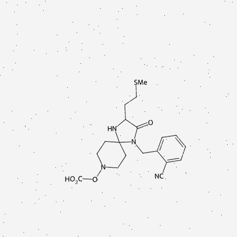 CSCCC1NC2(CCN(OC(=O)O)CC2)N(Cc2ccccc2C#N)C1=O